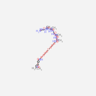 CC(=O)N1c2ccc(-c3ccc(C(=O)NCCOCCOCCOCCOCCOCCOCCOCCOCCNC(=O)c4cc(NC(=O)c5nc(NC(=O)CCNC(=O)c6cc(NC(=O)c7nc(NC(=O)CCCC(=N)N)cn7C)cn6C)cn5C)cn4C)cc3)cc2CC[C@@H]1C